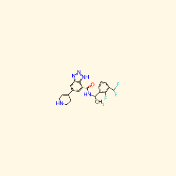 C[C@@H](NC(=O)c1cc(C2=CCNCC2)cc2nn[nH]c12)c1cccc(C(F)F)c1F